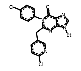 CCn1cnc2c(=O)n(-c3ccc(Cl)cc3)c(Cc3ccc(Cl)nc3)nc21